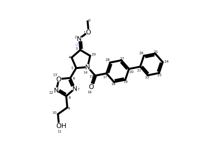 CO/N=C1/CC(c2nc(CCO)no2)N(C(=O)c2ccc(-c3ccccc3)cc2)C1